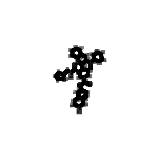 O=C(NCC1CC=CS1)[C@@H]1CN(C(=O)Oc2ccc3c(c2)CCNC3)CCN1C(=O)[C@@H](CC1CCCCC1)NC1CCCCC1